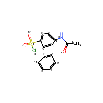 CC(=O)Nc1ccc(S(=O)(=O)Cl)cc1.c1ccccc1